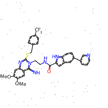 COc1cc2nc(SCc3ccc(C(F)(F)F)cc3)n(CCNC(=O)c3cc4cc(-c5cccnc5)ccc4[nH]3)c(=N)c2cc1OC